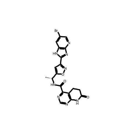 C[C@@H](NC(=O)c1ncnc2c1CCC(=O)N2)c1cc(-c2nc3ncc(Br)cc3[nH]2)no1